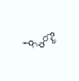 N#Cc1ccc(COc2cccc(C3CCN(CC4=CC=C[SH]4CC4CCO4)CC3)n2)c(F)c1